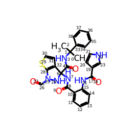 CC(C)(NC(=O)C1(NC(=O)c2ccccc2NC(=O)c2cc[nH]c2)NN([C]=O)c2sccc21)c1ccccc1